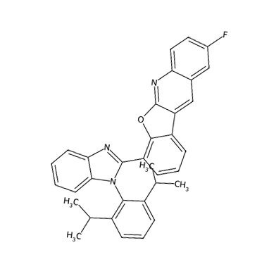 CC(C)c1cccc(C(C)C)c1-n1c(-c2cccc3c2oc2nc4ccc(F)cc4cc23)nc2ccccc21